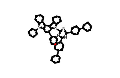 c1ccc(-c2ccc(-c3nc(-c4ccc(-c5ccccc5)cc4)nc(-n4c5ccccc5c5c6c7ccccc7n(-c7ccccc7)c6cc(-c6ccccc6)c54)n3)cc2)cc1